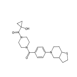 O=C(c1ccc(N2CCC3SCCC3C2)cc1)N1CCN(C(=O)C2(O)CC2)CC1